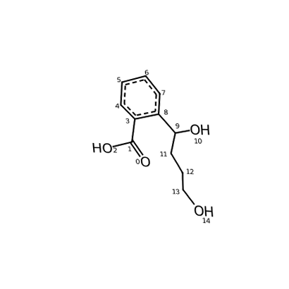 O=C(O)c1ccccc1C(O)CCCO